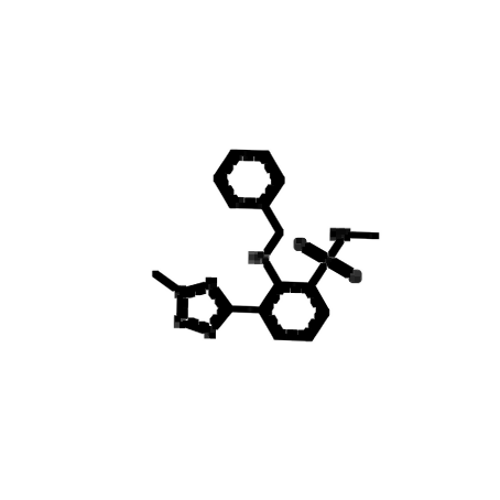 CNS(=O)(=O)c1cccc(-c2nnn(C)n2)c1NCc1ccccc1